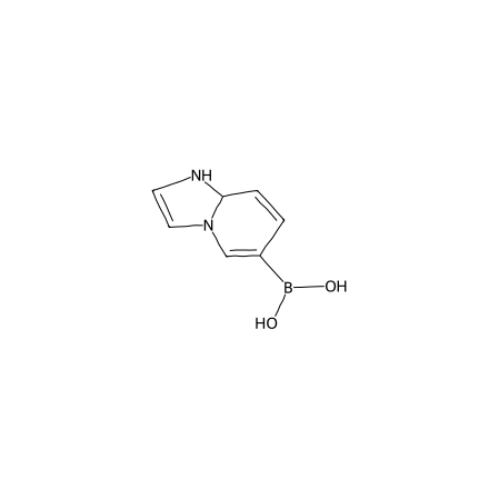 OB(O)C1=CN2C=CNC2C=C1